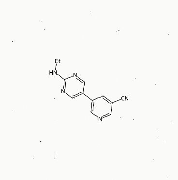 CCNc1ncc(-c2cncc(C#N)c2)cn1